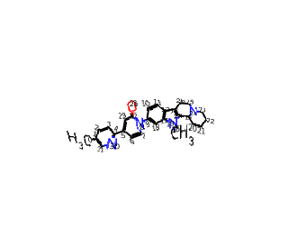 Cc1ccc(-c2ccn(-c3ccc4c5c(n(C)c4c3)C3CCCCN3CC5)c(=O)c2)nc1